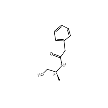 C[C@@H](CO)NC(=O)Cc1ccccc1